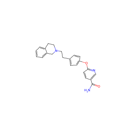 NC(=O)c1ccc(Oc2ccc(CCN3CCc4ccccc4C3)cc2)nc1